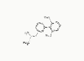 COc1cccc(OC)c1-c1cccc(C[C@@H](N)C(=O)O)c1